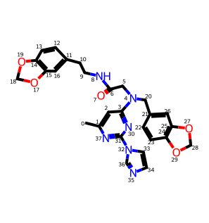 Cc1cc(N(CC(=O)NCCc2ccc3c(c2)OCO3)Cc2ccc3c(c2)OCO3)nc(-n2ccnc2)n1